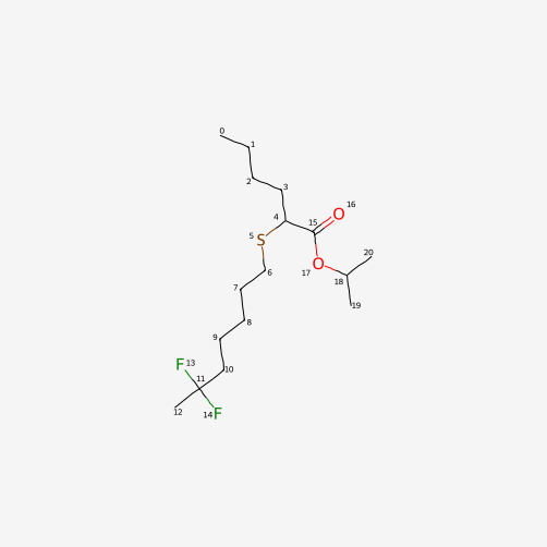 CCCCC(SCCCCCC(C)(F)F)C(=O)OC(C)C